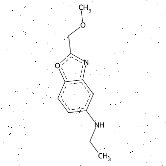 CCNc1ccc2oc(COC)nc2c1